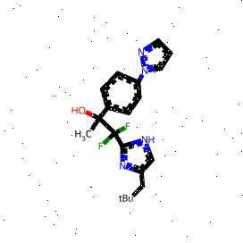 CC(C)(C)Cc1c[nH]c(C(F)(F)C(C)(O)c2ccc(-n3cccn3)cc2)n1